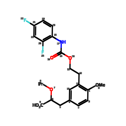 COc1ccc(CC(OC(C)C)C(=O)O)cc1CCOC(=O)Nc1ccc(F)cc1F